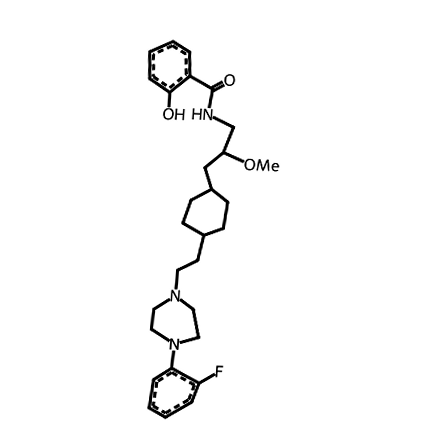 COC(CNC(=O)c1ccccc1O)CC1CCC(CCN2CCN(c3ccccc3F)CC2)CC1